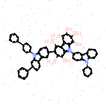 Bc1c(B)c(B)c2c(c1B)c1c(B)c(-c3ccc4c(c3)c3ccc(-c5ccccc5)cc3n4-c3ccc(-c4ccccc4)cc3)c(B)c(B)c1n2-c1ccc2c(c1)c1ccccc1n2-c1ccccc1